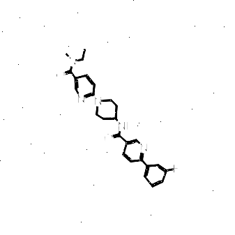 CCN(C)C(=O)c1ccc(N2CCC(NC(=O)c3ccc(-c4cccc(F)c4)nc3)CC2)nc1